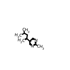 C=C(CC(C)C)c1cnc(C)nc1